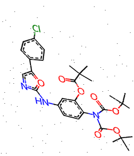 CC(C)(C)OC(=O)N(C(=O)OC(C)(C)C)c1ccc(Nc2ncc(-c3ccc(Cl)cc3)o2)cc1OC(=O)C(C)(C)C